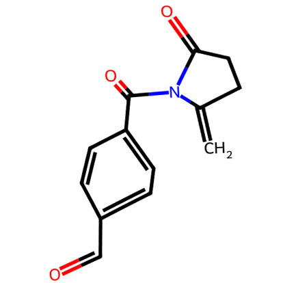 C=C1CCC(=O)N1C(=O)c1ccc(C=O)cc1